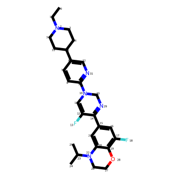 CCN1CCC(c2ccc(N3C=C(F)C(c4cc(F)c5c(c4)N(C(C)C)CCO5)=NC3)nc2)CC1